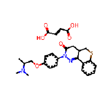 CC(COc1ccc(N2N=C3c4ccccc4SCC3CC2=O)cc1)N(C)C.O=C(O)C=CC(=O)O